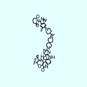 C[C@H](C1CCN(c2cc3c(cc2F)c(N2C(=O)CCCC2=O)nn3C)CC1)N1CCC2(CCN(c3ncc(Cl)c(Nc4ccc5c(c4)c4c(c(=O)n5C)OCC(F)(F)[C@H](C5CC5)N4)n3)CC2)CC1